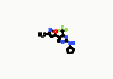 Cc1cc(-c2cnc(NC3CCCC3)nc2C(F)(F)F)on1